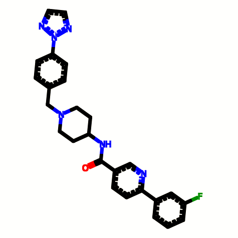 O=C(NC1CCN(Cc2ccc(-n3nccn3)cc2)CC1)c1ccc(-c2cccc(F)c2)nc1